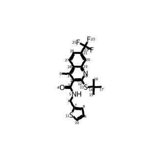 Cc1c(C(=O)NCc2cccs2)c(SC(C)(C)C)nc2cc(C(F)(F)F)ccc12